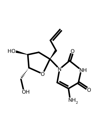 C=CC[C@]1(n2cc(N)c(=O)[nH]c2=O)C[C@H](O)[C@@H](CO)O1